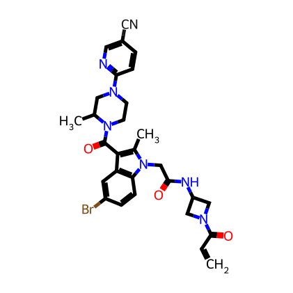 C=CC(=O)N1CC(NC(=O)Cn2c(C)c(C(=O)N3CCN(c4ccc(C#N)cn4)CC3C)c3cc(Br)ccc32)C1